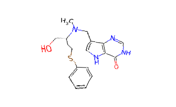 CN(Cc1c[nH]c2c(=O)[nH]cnc12)[C@@H](CO)CSc1ccccc1